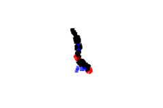 CC#Cc1ccc(N2CCN(CCCOc3ccc4c(c3)CC(=O)N4)CC2)cc1